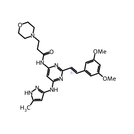 COc1cc(/C=C/c2nc(NC(=O)CCN3CCOCC3)cc(Nc3cc(C)[nH]n3)n2)cc(OC)c1